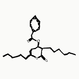 CCCCCCC1C(=O)OC(CCCCC)CC1OC(=O)c1ccccc1